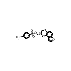 Cc1ccc(S(=O)(=O)OC[C@@H]2COc3ccc4occc4c3O2)cc1